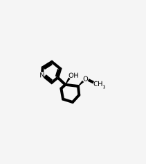 CO[C@H]1CCCC[C@]1(O)c1cccnc1